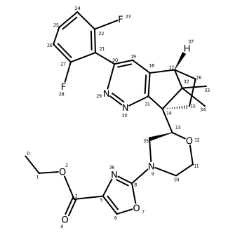 CCOC(=O)c1coc(N2CCO[C@H]([C@@]34CC[C@@H](c5cc(-c6c(F)cccc6F)nnc53)C4(C)C)C2)n1